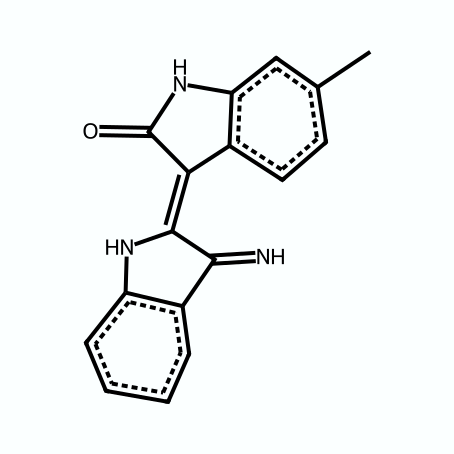 Cc1ccc2c(c1)NC(=O)/C2=C1\Nc2ccccc2C1=N